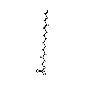 C=C/C=C/C=C/CCCCCCCCCCOC(C)=O